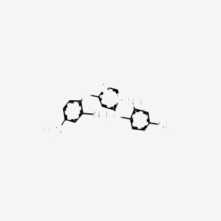 Nc1ccc(Oc2cc(Oc3ccc(N)cc3N)ncn2)c(N)c1